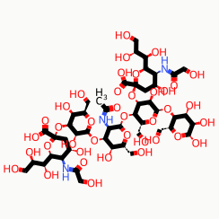 CC(=O)N[C@H]1[C@H](O[C@@H]2[C@H](O[C@]3(C(=O)O)C[C@H](O)[C@@H](NC(=O)CO)[C@H]([C@H](O)[C@H](O)CO)O3)[C@@H](O)[C@H](O[C@H]3[C@H](O)[C@@H](O)[C@H](O)O[C@@H]3CO)O[C@@H]2CO)O[C@H](CO)[C@H](O)[C@@H]1O[C@@H]1O[C@H](CO)[C@H](O)[C@H](O[C@]2(C(=O)O)C[C@H](O)[C@@H](NC(=O)CO)[C@H]([C@H](O)[C@H](O)CO)O2)[C@H]1O